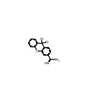 CCC1(CC)c2ccccc2Oc2cc(C(=N)N)ccc21